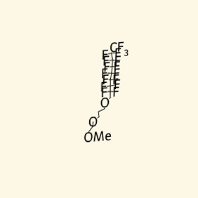 COCCOCCCOCC(F)(F)C(F)(F)C(F)(F)C(F)(F)C(F)(F)C(F)(F)C(F)(F)C(F)(F)F